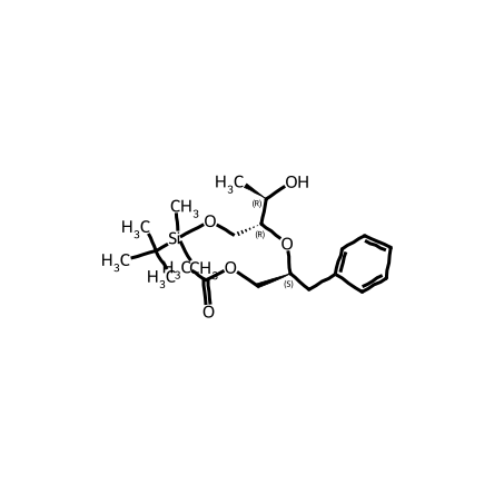 CC(=O)OC[C@H](Cc1ccccc1)O[C@H](CO[Si](C)(C)C(C)(C)C)[C@@H](C)O